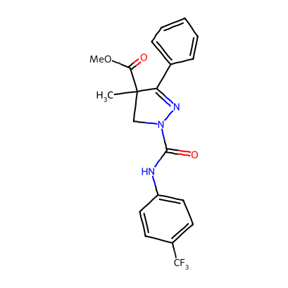 COC(=O)C1(C)CN(C(=O)Nc2ccc(C(F)(F)F)cc2)N=C1c1ccccc1